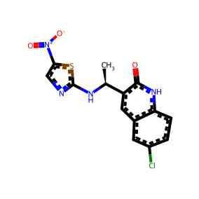 C[C@H](Nc1ncc([N+](=O)[O-])s1)c1cc2cc(Cl)ccc2[nH]c1=O